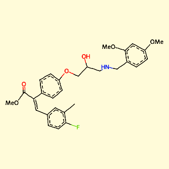 COC(=O)/C(=C/c1ccc(F)c(C)c1)c1ccc(OCC(O)CNCc2ccc(OC)cc2OC)cc1